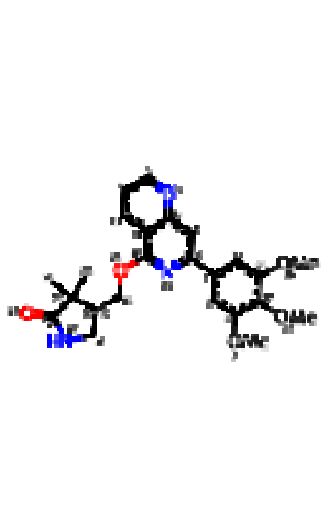 COc1cc(-c2cc3ncccc3c(OC[C@H]3CNC(=O)C3(C)C)n2)cc(OC)c1OC